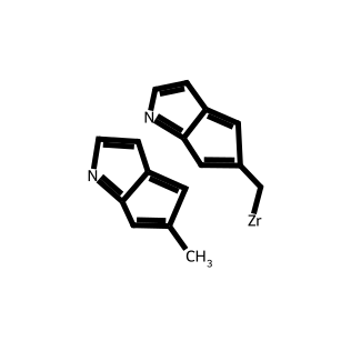 CC1=CC2=NC=CC2=C1.[Zr][CH2]C1=CC2=NC=CC2=C1